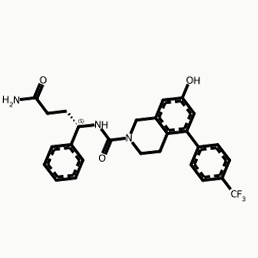 NC(=O)CC[C@H](NC(=O)N1CCc2c(cc(O)cc2-c2ccc(C(F)(F)F)cc2)C1)c1ccccc1